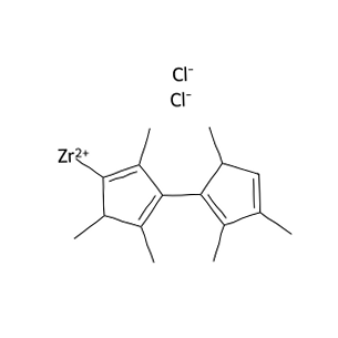 CC1=CC(C)C(C2=C(C)C(C)[C]([Zr+2])=C2C)=C1C.[Cl-].[Cl-]